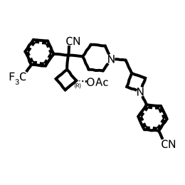 CC(=O)O[C@@H]1CCC1C(C#N)(c1cccc(C(F)(F)F)c1)C1CCN(CC2CN(c3ccc(C#N)cc3)C2)CC1